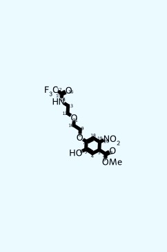 COC(=O)C1C=C(O)C(OCCOCCNC(=O)C(F)(F)F)=CC1[N+](=O)[O-]